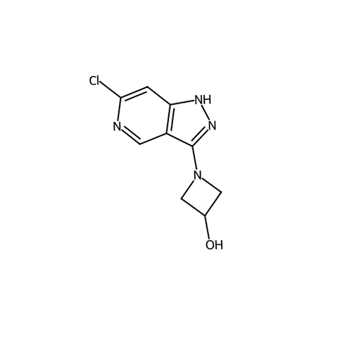 OC1CN(c2n[nH]c3cc(Cl)ncc23)C1